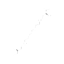 CC(C)C(=O)CCOCCOCCOCCOCCC(=O)C(C)C